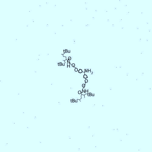 CC(CCC(C(=O)NCCOCCOc1ccc(C(N)c2ccc(OCCOCCNC(=O)C(CCC(C)CC(C)(C)C)C(C)CC(C)(C)C)cc2)cc1)C(C)CC(C)(C)C)CC(C)(C)C